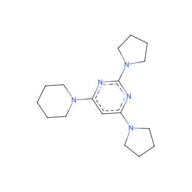 c1c(N2CCCCC2)nc(N2CCCC2)nc1N1CCCC1